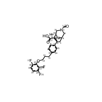 O=CN1CC2CC(c3ccc(CCCOc4c(F)ccc(F)c4F)cc3)=C(C(=O)O)[C@@H](C1)N2